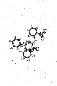 O=C(O)C(Cc1ccccc1[N+](=O)[O-])N=C(c1ccccc1)c1ccccc1